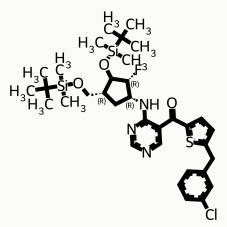 CC(C)(C)[Si](C)(C)OC[C@H]1C[C@@H](Nc2ncncc2C(=O)c2ccc(Cc3cccc(Cl)c3)s2)[C@@H](F)C1O[Si](C)(C)C(C)(C)C